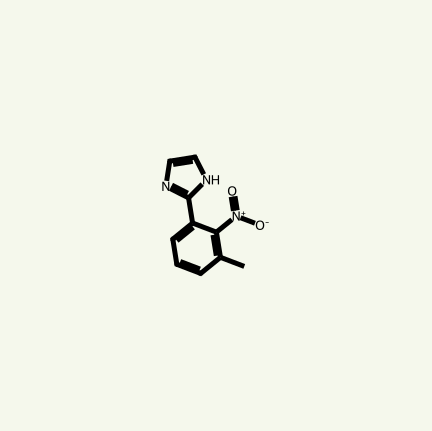 Cc1cccc(-c2ncc[nH]2)c1[N+](=O)[O-]